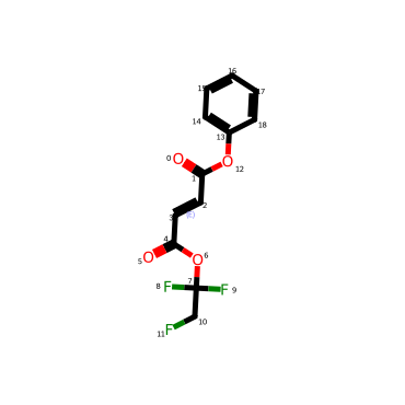 O=C(/C=C/C(=O)OC(F)(F)CF)Oc1ccccc1